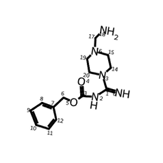 N=C(NC(=O)OCc1ccccc1)N1CCN(CN)CC1